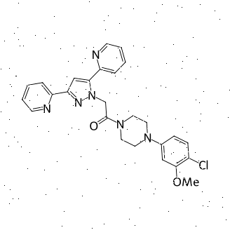 COc1cc(N2CCN(C(=O)Cn3nc(-c4ccccn4)cc3-c3ccccn3)CC2)ccc1Cl